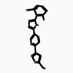 CC(C)c1nc(-c2ccc(-c3cnc(-c4c(F)cccc4Cl)[nH]3)cn2)no1